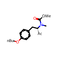 CCCCOc1ccc(C[C@@H](C(C)=O)N(C)C(=O)OC)cc1